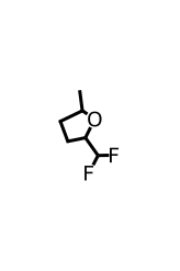 CC1CCC(C(F)F)O1